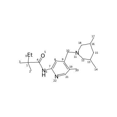 CCC(C)(C)C(=O)Nc1cc(CN2CC(C)CC(C)C2)c(C)cn1